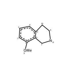 COc1cccc2c1C[N]CC2